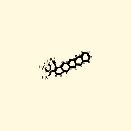 C#Cc1c([Si](CC)(CC)CC)ccc2cc3cc4cc5ccccc5cc4cc3cc12